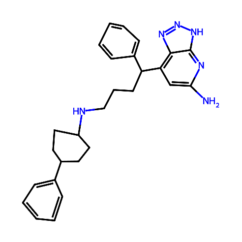 Nc1cc(C(CCCNC2CCC(c3ccccc3)CC2)c2ccccc2)c2nn[nH]c2n1